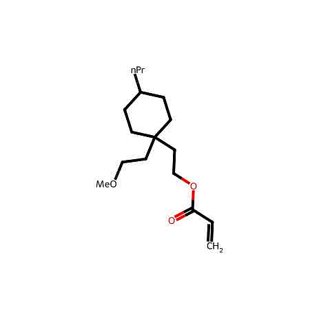 C=CC(=O)OCCC1(CCOC)CCC(CCC)CC1